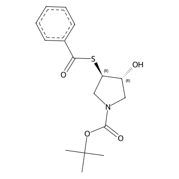 CC(C)(C)OC(=O)N1C[C@@H](O)[C@H](SC(=O)c2ccccc2)C1